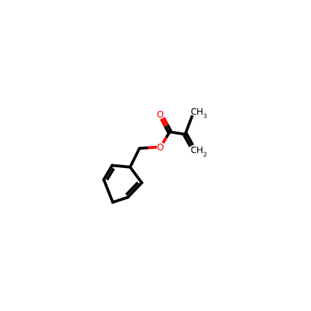 C=C(C)C(=O)OCC1C=CCC=C1